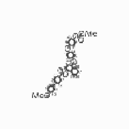 COC(=O)Oc1ccc(Oc2ccc(Oc3ccc(OC(=O)c4ccc(-c5ccc(OC)cc5)cc4)c4ccccc34)cc2)cc1